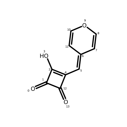 O=c1c(O)c(C=C2C=COC=C2)c1=O